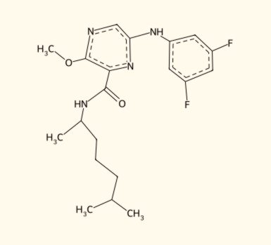 COc1ncc(Nc2cc(F)cc(F)c2)nc1C(=O)NC(C)CCCC(C)C